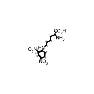 N[C@H](CCCCNc1ccc([N+](=O)[O-])cc1[N+](=O)[O-])C(=O)O